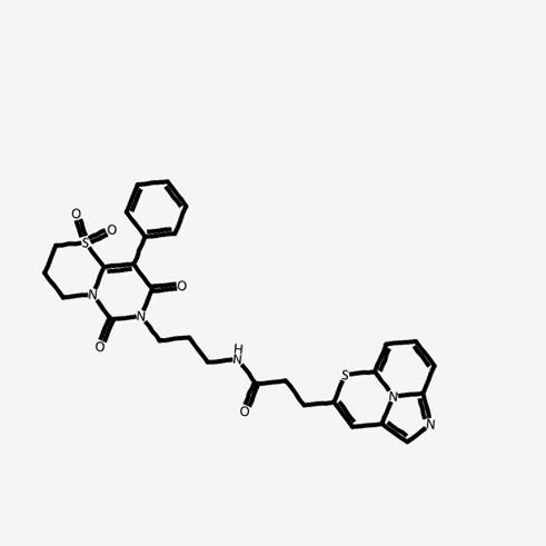 O=C(CCC1=Cc2cnc3cccc(n23)S1)NCCCn1c(=O)c(-c2ccccc2)c2n(c1=O)CCCS2(=O)=O